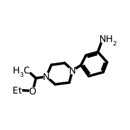 CCOC(C)N1CCN(c2cccc(N)c2)CC1